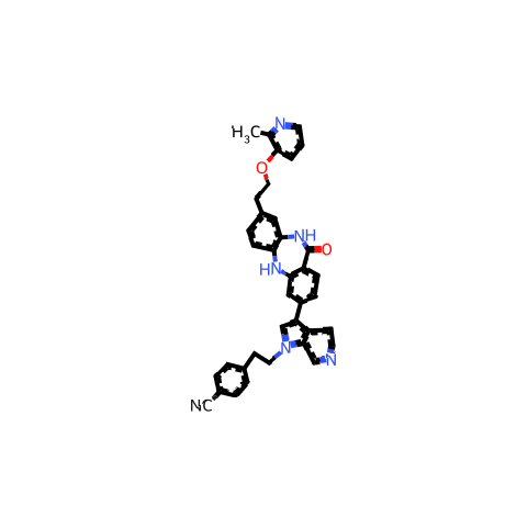 Cc1ncccc1OCCc1ccc2c(c1)NC(=O)c1ccc(-c3cn(CCc4ccc(C#N)cc4)c4cnccc34)cc1N2